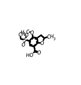 CCS(=O)(=O)c1cc(C(=O)O)c2c(c1OC)CC(C)O2